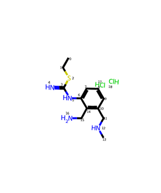 CCSC(=N)Nc1cccc(CNC)c1CN.Cl.Cl